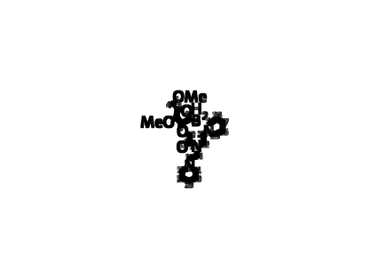 B[C@@H]1O[C@H](COC)C(OC)[C@@H]1OCC(=O)N(CCN1CCCCC1)CCN1CCCCC1